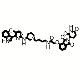 O=C(COc1cccc2c1C(=O)N(C1CCC(=O)NC1=O)C2=O)NCCCCN1CCCC(Nc2ncc(Cl)c(-c3c[nH]c4ccccc34)n2)C1